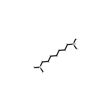 CN(C)CCC[CH]CCCN(C)C